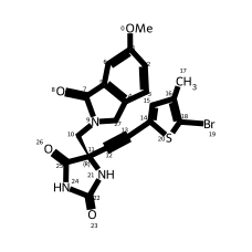 COc1ccc2c(c1)C(=O)N(C[C@@]1(C#Cc3cc(C)c(Br)s3)NC(=O)NC1=O)C2